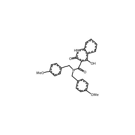 COc1ccc(CN(Cc2ccc(OC)cc2)C(=O)c2c(O)c3ccccc3[nH]c2=O)cc1